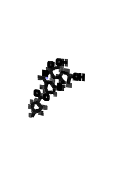 Cc1ccc(C(=O)Oc2cc(Br)cc(/C=N\C(Cc3ccc(O)cc3)C(=O)CO)c2)cc1